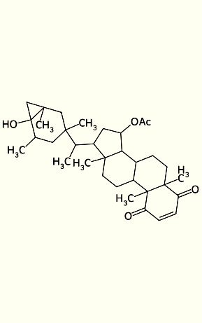 CC(=O)OC1CC(C(C)C2(C)CC(C)C3(O)CC3(C)C2)C2(C)CCC3C(CCC4(C)C(=O)C=CC(=O)C34C)C12